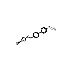 COc1ccc(-c2ccc(COC3CN(C#N)C3)cc2)cc1